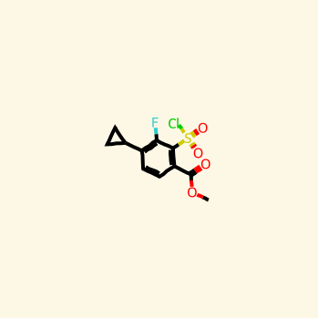 COC(=O)c1ccc(C2CC2)c(F)c1S(=O)(=O)Cl